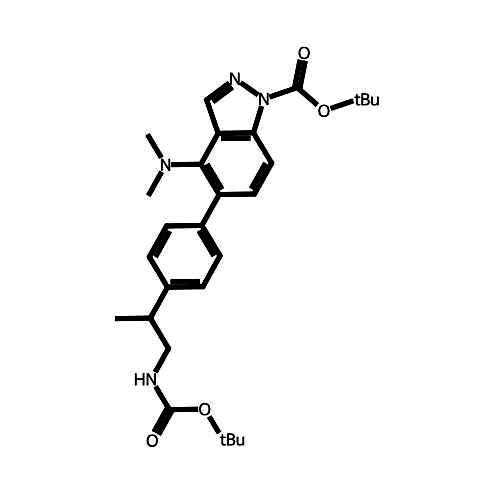 CC(CNC(=O)OC(C)(C)C)c1ccc(-c2ccc3c(cnn3C(=O)OC(C)(C)C)c2N(C)C)cc1